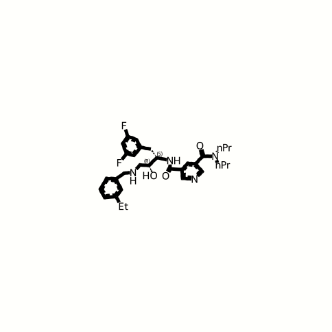 CCCN(CCC)C(=O)c1cncc(C(=O)N[C@@H](Cc2cc(F)cc(F)c2)[C@H](O)CNCc2cccc(CC)c2)c1